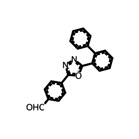 O=Cc1ccc(-c2nnc(-c3ccccc3-c3ccccc3)o2)cc1